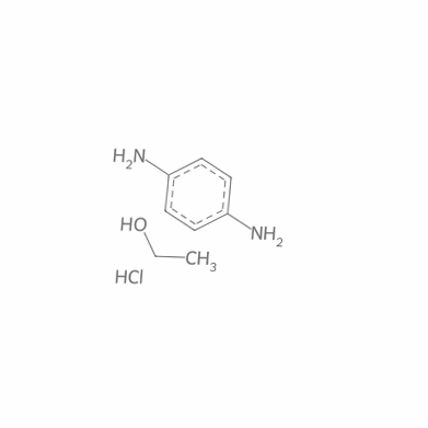 CCO.Cl.Nc1ccc(N)cc1